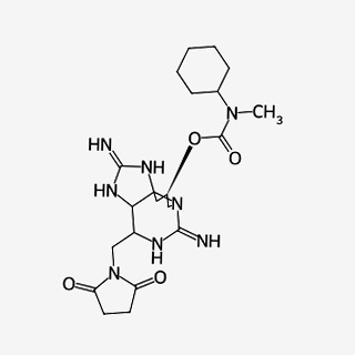 CN(C(=O)O[C@H]1CN2C(=N)NC(CN3C(=O)CCC3=O)C3NC(=N)NC32C1)C1CCCCC1